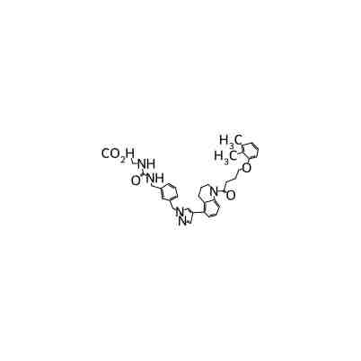 Cc1cccc(OCCCC(=O)N2CCCc3c(-c4cnn(Cc5cccc(CNC(=O)NCC(=O)O)c5)c4)cccc32)c1C